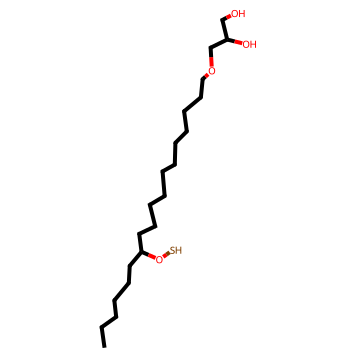 CCCCCCC(CCCCCCCCCCCOCC(O)CO)OS